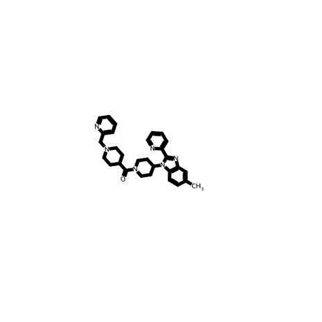 Cc1ccc2c(c1)nc(-c1ccccn1)n2C1CCN(C(=O)C2CCN(Cc3ccccn3)CC2)CC1